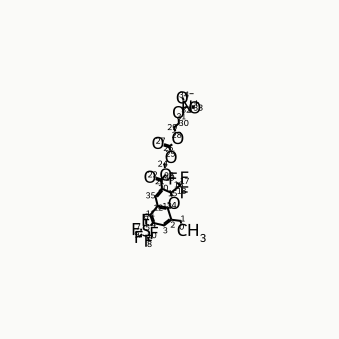 CCc1cc(S(F)(F)(F)(F)F)cc2c1OC(C(F)(F)F)C(C(=O)OCOC(=O)OCCO[N+](=O)[O-])=C2